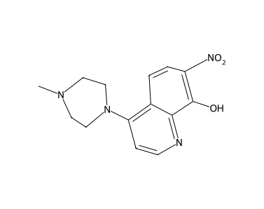 CN1CCN(c2ccnc3c(O)c([N+](=O)[O-])ccc23)CC1